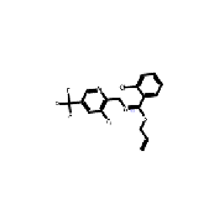 C=CCS/C(=N/Cc1ncc(C(F)(F)F)cc1Cl)c1ccccc1Cl